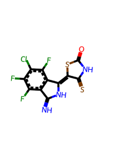 N=C1NC(=C2SC(=O)NC2=S)c2c(F)c(Cl)c(F)c(F)c21